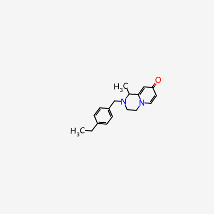 CCc1ccc(CN2CCn3ccc(=O)cc3C2C)cc1